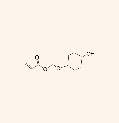 C=CC(=O)OCOC1CCC(O)CC1